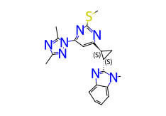 CSc1nc([C@H]2C[C@@H]2c2nc3ccccc3n2C)cc(-n2nc(C)nc2C)n1